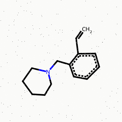 C=Cc1ccccc1CN1CCCCC1